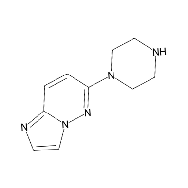 c1cn2nc(N3CCNCC3)ccc2n1